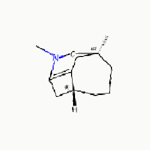 CN1C[C@@]2(C)CCC[C@@H]3CC1=C3C2